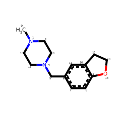 CN1CCN(Cc2ccc3c(c2)CCO3)CC1